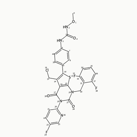 CONC(=O)Nc1ccc(-c2sc3c(c2CCl)c(=O)n(-c2ccc(F)cn2)c(=O)n3Cc2c(F)cccc2F)cc1